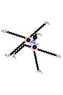 [CH2]Cc1ccc(-c2nc(Nc3cc(OCCCCCCCCCCCCCCCC)c(OCCCCCCCCCCCCCCCC)c(OCCCCCCCCCCCCCCCC)c3)nc(Nc3cc(OCCCCCCCCCCCCCCCC)c(OCCCCCCCCCCCCCCCC)c(OCCCCCCCCCCCCCCCC)c3)n2)cc1